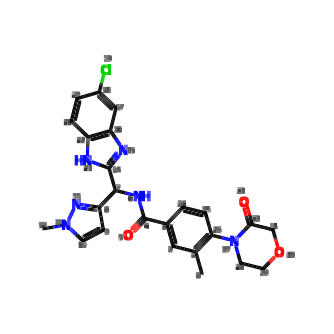 Cc1cc(C(=O)NC(c2ccn(C)n2)c2nc3cc(Cl)ccc3[nH]2)ccc1N1CCOCC1=O